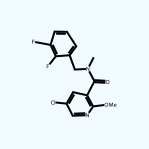 COc1ncc(Cl)cc1C(=O)N(C)Cc1cccc(F)c1F